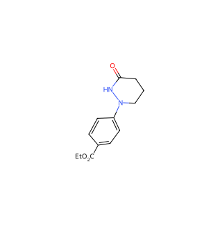 CCOC(=O)c1ccc(N2CCCC(=O)N2)cc1